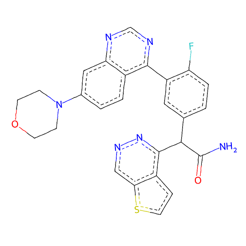 NC(=O)C(c1ccc(F)c(-c2ncnc3cc(N4CCOCC4)ccc23)c1)c1nncc2sccc12